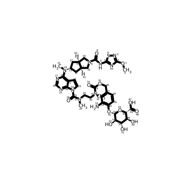 COc1nsc(NC(=O)N2C[C@H]3C[C@H](N(C)c4ncnc5c4ccn5C(=O)N(C)CCN(C)C(=O)OCc4ccc(O[C@@H]5O[C@H](C(=O)O)[C@@H](O)[C@H](O)[C@H]5O)c(N)c4)C[C@H]3C2)n1